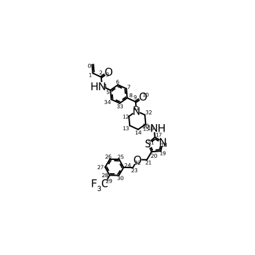 C=CC(=O)Nc1ccc(C(=O)N2CCC[C@@H](Nc3ncc(COCc4cccc(C(F)(F)F)c4)s3)C2)cc1